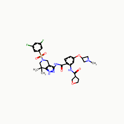 CN1CC(Oc2ccc(C(=O)Nc3n[nH]c4c3CN(S(=O)(=O)c3cc(F)cc(F)c3)CC4(C)C)c(NC(=O)C3CCOC3)c2)C1